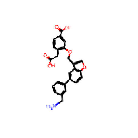 NCc1cccc(-c2ccc3occ(COc4cc(C(=O)O)ccc4CC(=O)O)c3c2)c1